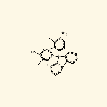 Cc1c(N)ccc(C2(c3ccc(N)c(C)c3C)c3ccccc3-c3ccccc32)c1C